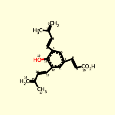 C=C(C)C=Cc1cc(C=CC(=O)O)cc(C=CC(=C)C)c1O